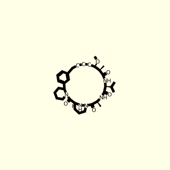 CO[C@@H]1CCCCc2cccc(c2)C2CCCCN2C(=O)[C@@H]2CCCN(N2)C(=O)[C@H](C)NC(=O)[C@H](C(C)C)NC(=O)[C@@H]1C